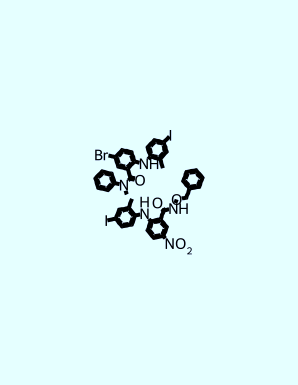 Cc1cc(I)ccc1Nc1ccc(Br)cc1C(=O)N(C)c1ccccc1.Cc1cc(I)ccc1Nc1ccc([N+](=O)[O-])cc1C(=O)NOCc1ccccc1